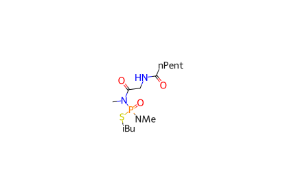 CCCCCC(=O)NCC(=O)N(C)P(=O)(NC)SC(C)CC